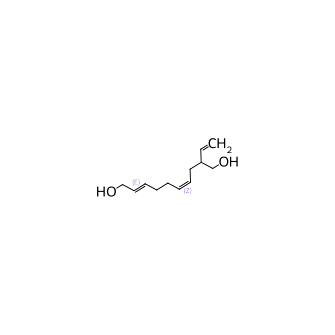 C=CC(CO)C/C=C\CC/C=C/CO